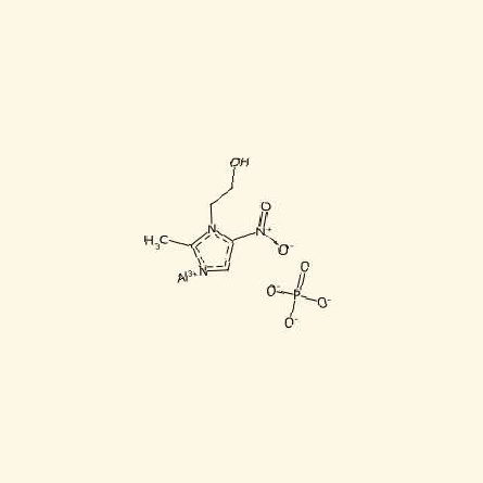 Cc1ncc([N+](=O)[O-])n1CCO.O=P([O-])([O-])[O-].[Al+3]